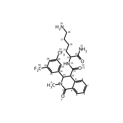 CN1C(=O)c2ccccc2C(C(=O)NC(CCCCN)C(N)=O)C1c1cc(C(F)(F)F)cc(C(F)(F)F)c1